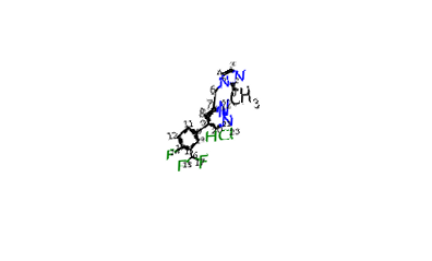 Cc1nccn1Cc1cc(-c2ccc(F)c(C(F)F)c2)cnn1.Cl